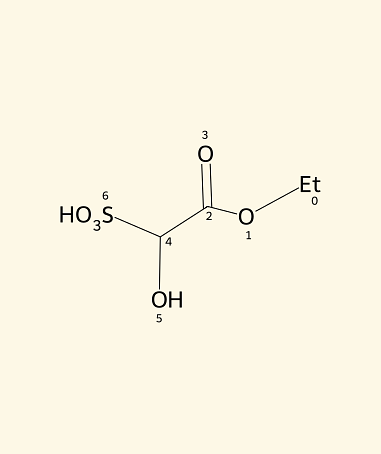 CCOC(=O)C(O)S(=O)(=O)O